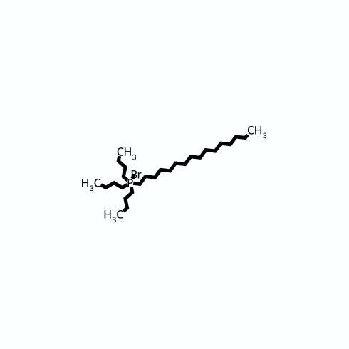 CCCCCCCCCCCCCCCCP(Br)(CCCC)(CCCC)CCCC